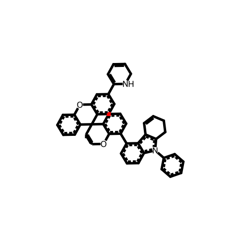 C1=CCNC(c2ccc3c(c2)Oc2ccccc2C32C3=CC=CCC3Oc3c(-c4cccc5c4c4c(n5-c5ccccc5)CCC=C4)cccc32)=C1